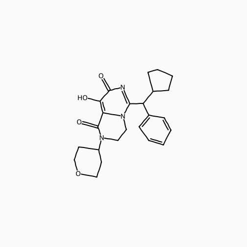 O=C1c2c(O)c(=O)nc(C(c3ccccc3)C3CCCC3)n2CCN1C1CCOCC1